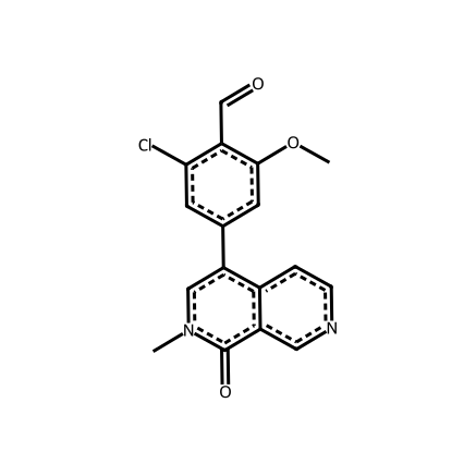 COc1cc(-c2cn(C)c(=O)c3cnccc23)cc(Cl)c1C=O